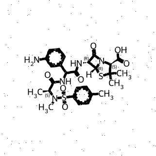 Cc1ccc(S(=O)(=O)N(C)[C@@H](C)C(=O)NC(C(=O)N[C@@H]2C(=O)N3[C@@H]2SC(C)(C)[C@@H]3C(=O)O)c2cccc(N)c2)cc1